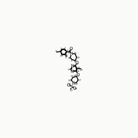 Cc1ccc(C(=O)N2CCC(Oc3ncnc(OC4CCN(S(C)(=O)=O)CC4)c3C)CC2)c(F)c1